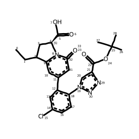 CCC1C[C@@H](C(=O)O)n2c1cc(-c1cc(Cl)ccc1-n1cc(C(=O)OC(C)(C)C)nn1)cc2=O